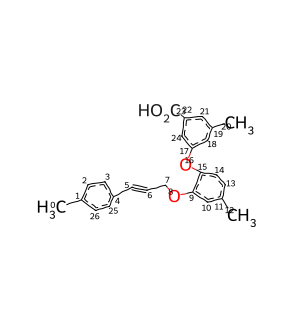 Cc1ccc(C#CCOc2cc(C)ccc2Oc2cc(C)cc(C(=O)O)c2)cc1